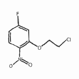 O=[N+]([O-])c1ccc(F)cc1OCCCl